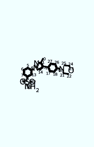 Cc1nn(-c2cccc(S(N)(=O)=O)c2)cc1-c1ccc(N2CCOCC2)cc1